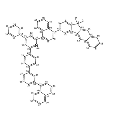 CC1(C)c2ccc(-c3ccc(-c4nc(-c5ccccc5)cc(-c5ccc(-c6cccc(-c7cccc8ccccc78)c6)cc5)n4)c4ccccc34)cc2-c2cc3ccccc3cc21